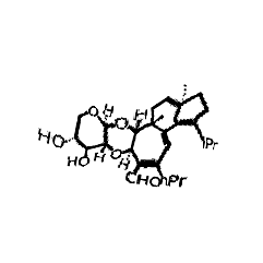 CCCC1=C(C=O)[C@H]2O[C@H]3[C@@H](OC[C@@H](O)[C@@H]3O)O[C@@H]2[C@]2(C)CC[C@@]3(C)CCC(C(C)C)=C3C2=C1